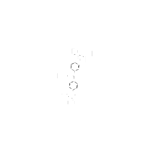 CCC(C)(C)Oc1ccc(C(C)(CC)c2ccc(OC(=O)C(C)C)cc2)cc1